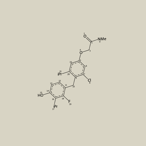 CNC(=O)COc1cc(Cl)c(Cc2ccc(O)c(C(C)C)c2F)c(C(C)C)c1